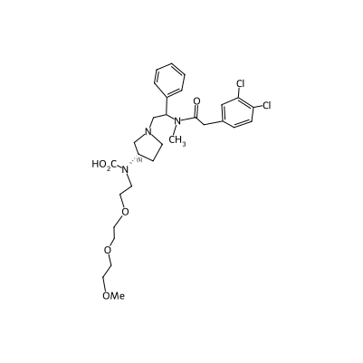 COCCOCCOCCN(C(=O)O)[C@H]1CCN(CC(c2ccccc2)N(C)C(=O)Cc2ccc(Cl)c(Cl)c2)C1